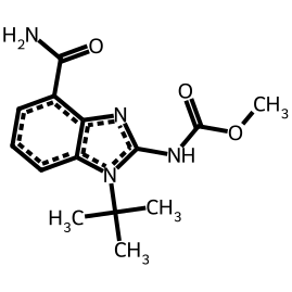 COC(=O)Nc1nc2c(C(N)=O)cccc2n1C(C)(C)C